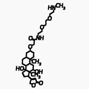 CNCCOCCOCCNC(=O)COC1CCC2(C)C(CCC3C2CC(O)C2(C)C(C4=CC(=O)OC4)CCC32O)C1